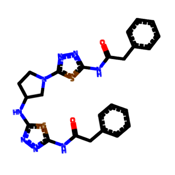 O=C(Cc1ccccc1)Nc1nnc(NC2CCN(c3nnc(NC(=O)Cc4ccccc4)s3)C2)s1